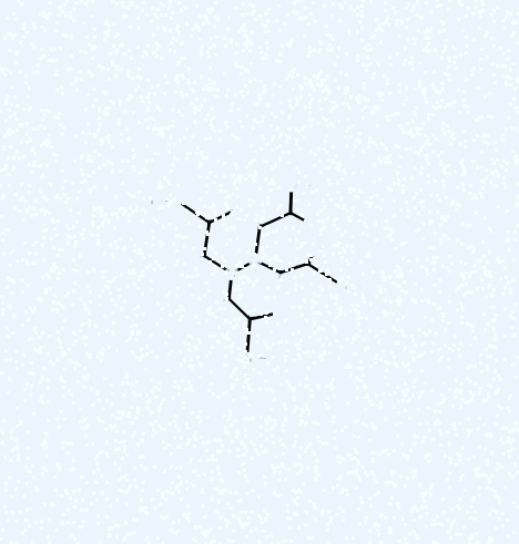 CCCCCC(O)CN(CC(O)CCCCC)N(CC(O)CCCCC)CC(O)CCCCC